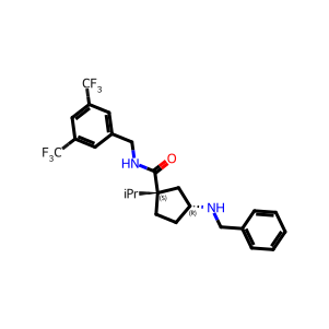 CC(C)[C@]1(C(=O)NCc2cc(C(F)(F)F)cc(C(F)(F)F)c2)CC[C@@H](NCc2ccccc2)C1